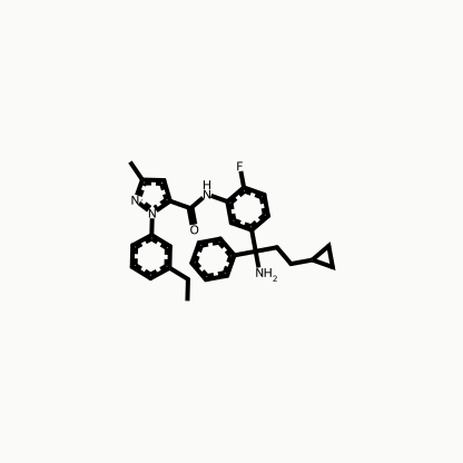 CCc1cccc(-n2nc(C)cc2C(=O)Nc2cc(C(N)(CCC3CC3)c3ccccc3)ccc2F)c1